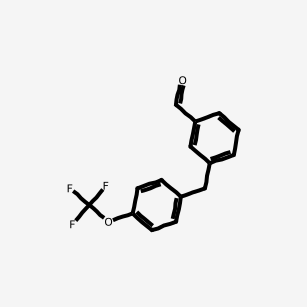 O=Cc1cccc(Cc2ccc(OC(F)(F)F)cc2)c1